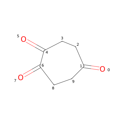 O=C1CCC(=O)C(=O)CC1